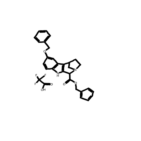 O=C(O)C(F)(F)F.O=C(OCc1ccccc1)C1c2[nH]c3ccc(OCc4ccccc4)cc3c2C2CCN1C2